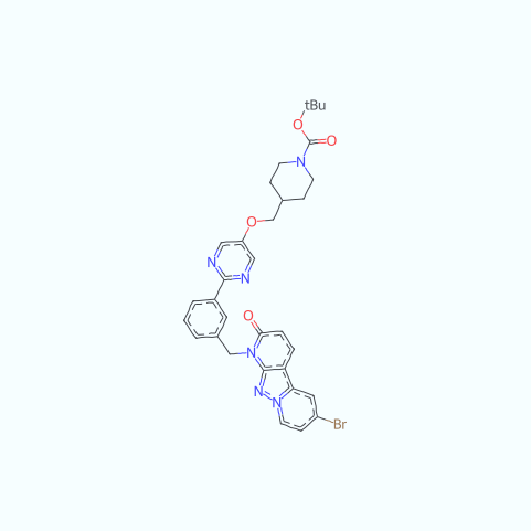 CC(C)(C)OC(=O)N1CCC(COc2cnc(-c3cccc(Cn4c(=O)ccc5c4nn4ccc(Br)cc54)c3)nc2)CC1